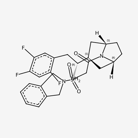 N[C@H](Cc1cc(F)c(F)cc1F)[C@@H]1C[C@H]2CC[C@@H](C1)N2C(=O)CS(=O)(=O)N1Cc2ccccc2C1